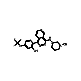 Oc1cc(OC(F)(F)F)ccc1-c1nnc(N[C@H]2CCC[C@@H](O)C2)c2cnccc12